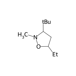 CCC1CC(C(C)(C)C)N(C)O1